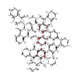 O=c1c2ccccc2nc2cc(-c3ccccc3-c3cc(-c4ccccc4-c4ccc(-c5ccc(-c6ccccc6-c6cc(-c7ccccc7-c7ccn8c(=O)c9ccccc9nc8c7)cc(-c7ccccc7-c7ccn8c(=O)c9ccccc9nc8c7)c6)cn5)nc4)cc(-c4ccccc4-c4ccn5c(=O)c6ccccc6nc5c4)c3)ccn12